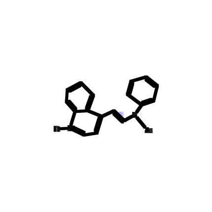 CC[n+]1ccc(/C=C/N(C(C)=O)c2ccccc2)c2ccccc21